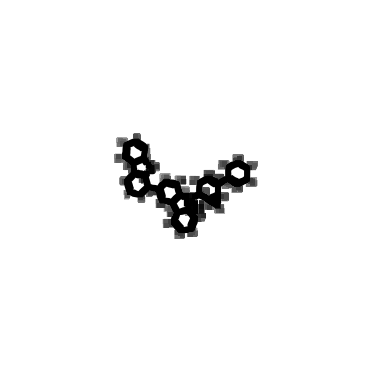 C1=CC2SC3=C(C=CCC3C3=CC4C5C=CC=C[C@H]5N(C5CC=C(C6=CCCCC6)C6CC65)C4C=C3)C2C=C1